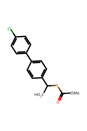 COC(=O)SC(C(=O)O)c1ccc(-c2ccc(Cl)cc2)cc1